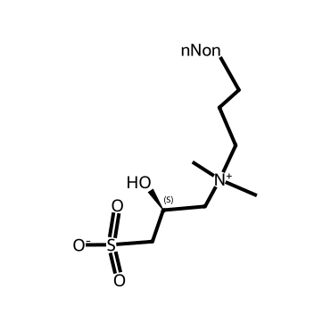 CCCCCCCCCCCC[N+](C)(C)C[C@H](O)CS(=O)(=O)[O-]